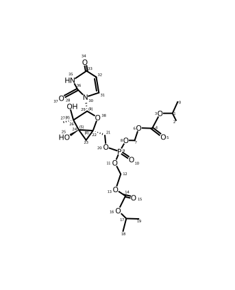 CC(C)OC(=O)OCOP(=O)(OCOC(=O)OC(C)C)OC[C@]12C[C@]1(O)[C@@](C)(O)[C@H](n1ccc(=O)[nH]c1=O)O2